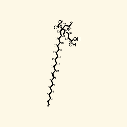 CCCCCCCCC=CCCCCCCCCCCCCC(CCC)(P(=O)=O)[N+](C)(C)CCC(O)O